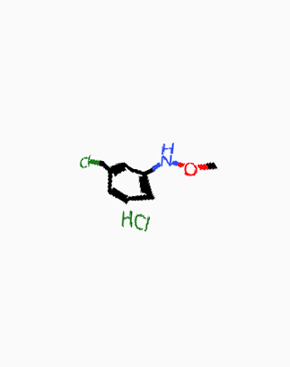 CONc1cccc(Cl)c1.Cl